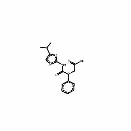 CC(C)c1cnc(NC(=O)[C@@H](CC(=O)O)c2ccccc2)s1